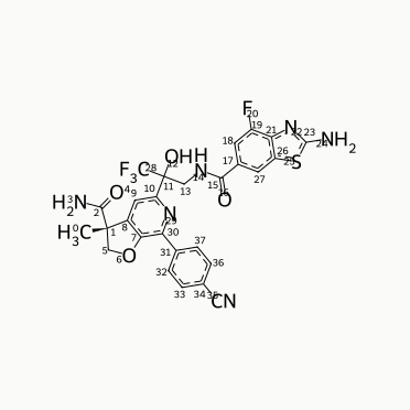 C[C@]1(C(N)=O)COc2c1cc(C(O)(CNC(=O)c1cc(F)c3nc(N)sc3c1)C(F)(F)F)nc2-c1ccc(C#N)cc1